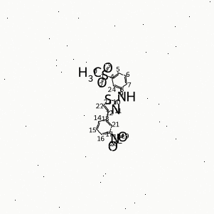 CS(=O)(=O)c1cccc(Nc2nc(-c3cccc([N+](=O)[O-])c3)cs2)c1